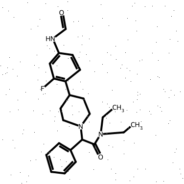 CCN(CC)C(=O)C(c1ccccc1)N1CCC(c2ccc(NC=O)cc2F)CC1